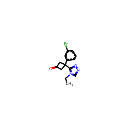 CCn1cnnc1C1(c2cccc(Br)c2)CC(=O)C1